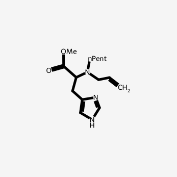 C=CCN(CCCCC)C(Cc1c[nH]cn1)C(=O)OC